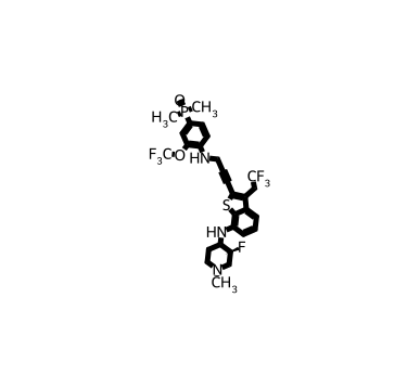 CN1CCC(Nc2cccc3c(CC(F)(F)F)c(C#CCNc4ccc(P(C)(C)=O)cc4OC(F)(F)F)sc23)[C@@H](F)C1